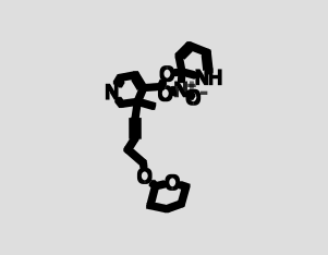 CC1(C#CCCOC2CCCCO2)CN=CC=C1COC1([N+](=O)[O-])C=CC=CN1